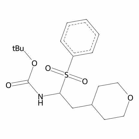 CC(C)(C)OC(=O)NC(CC1CCOCC1)S(=O)(=O)c1ccccc1